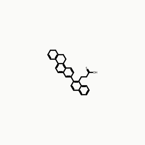 OC(=S)CCc1c(-c2ccc3c4c(ccc3c2)C2=C(CCC=C2)CC4)ccc2ccccc12